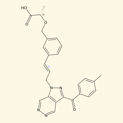 Cc1ccc(C(=O)c2nn(C/C=C/c3cccc(CO[C@@H](C)C(=O)O)c3)c3cnncc23)cc1